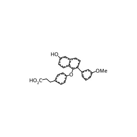 COc1cccc(-c2ccc3cc(O)ccc3c2Oc2ccc(CCC(=O)O)cc2)c1